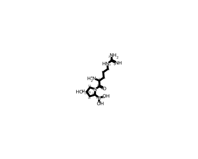 N=C(N)NCCCC(N)C(=O)N1C[C@@H](O)CC1B(O)O